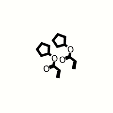 C=CC(=O)OC1CCCC1.C=CC(=O)OC1CCCC1